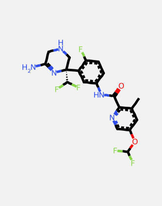 Cc1cc(OC(F)F)cnc1C(=O)Nc1ccc(F)c([C@]2(C(F)F)CNCC(N)=N2)c1